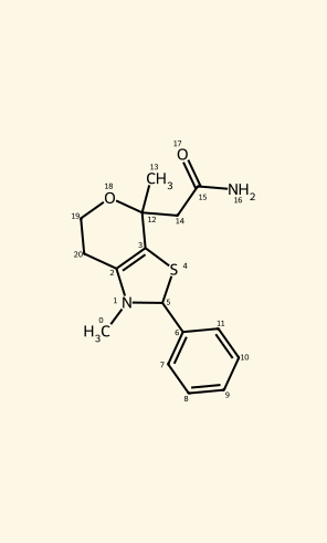 CN1C2=C(SC1c1ccccc1)C(C)(CC(N)=O)OCC2